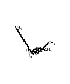 B[C@]12CC[C@]3(C)C([C@H](C)CCCCCCCCCCCCCCCCCCC)CC[C@@]3(S)C1CC=C1CC(C(CC)CCCCCC)CC[C@@]12C